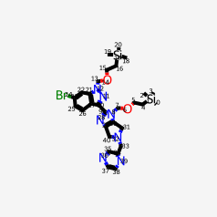 C[Si](C)(C)CCOCn1c(-c2nn(COCC[Si](C)(C)C)c3cc(Br)ccc23)nc2c1CN(Cc1cnccn1)C2